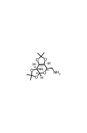 CC1(C)O[C@H]2[C@@H](O1)[C@@H](CN)O[C@@H]1OC(C)(C)O[C@@H]12